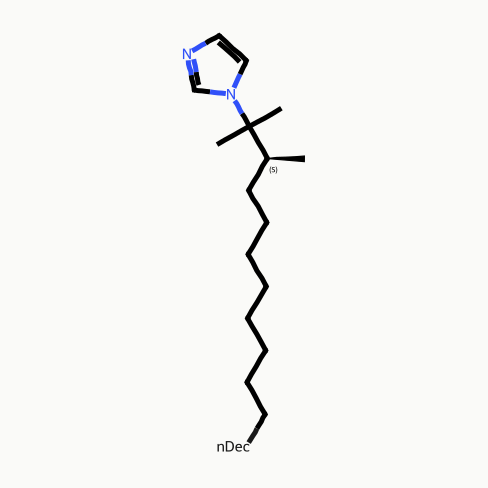 CCCCCCCCCCCCCCCCCC[C@H](C)C(C)(C)n1ccnc1